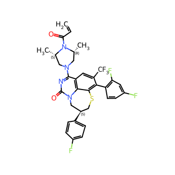 C=CC(=O)N1[C@H](C)CN(c2nc(=O)n3c4c(c(-c5ccc(F)cc5F)c(C(F)(F)F)cc24)SC[C@@H](c2ccc(F)cc2)C3)C[C@@H]1C